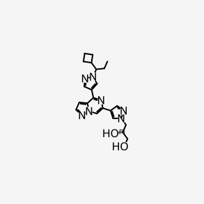 CCC(C1CCC1)n1cc(-c2nc(-c3cnn(C[C@@H](O)CO)c3)cn3nccc23)cn1